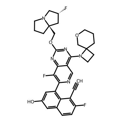 C#Cc1c(F)ccc2cc(O)cc(-c3ncc4c(N5CCC56CCCOC6)nc(OC[C@@]56CCCN5C[C@H](F)C6)nc4c3F)c12